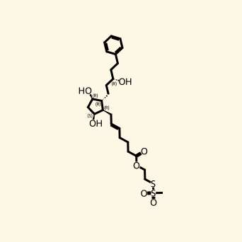 CS(=O)(=O)SCCOC(=O)CCCC=CC[C@@H]1[C@@H](CC[C@@H](O)CCc2ccccc2)[C@H](O)C[C@@H]1O